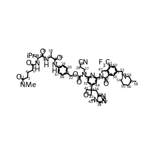 CNC(=O)CCCC(=O)N[C@H](C(=O)N[C@@H](C)C(=O)Nc1ccc(COC(=O)N(CCC#N)c2cc(C3(Cc4nncn4C)COC3)cc(N3Cc4c(cc(CN5CCC[C@H](C)C5)cc4C(F)(F)F)C3=O)n2)cc1)C(C)C